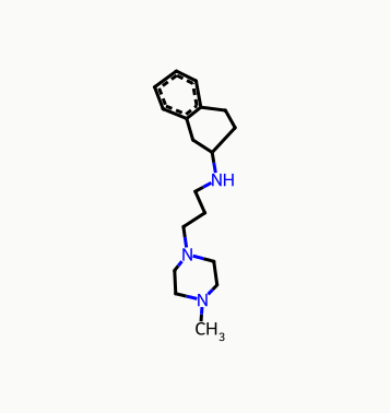 CN1CCN(CCCNC2CCc3ccccc3C2)CC1